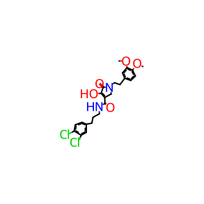 COc1ccc(CCN2CC(C(=O)NCCCc3ccc(Cl)c(Cl)c3)=C(O)C2=O)cc1OC